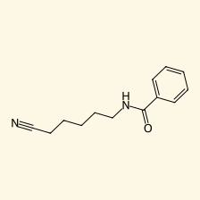 N#CCCCCCNC(=O)c1ccccc1